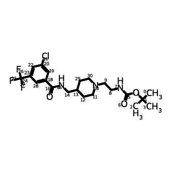 CC(C)(C)OC(=O)NCCN1CCC(CNC(=O)c2cc(Cl)cc(C(F)(F)F)c2)CC1